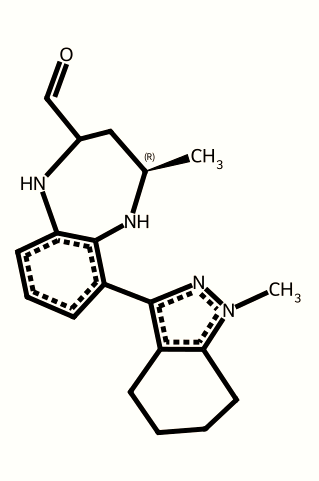 C[C@@H]1CC(C=O)Nc2cccc(-c3nn(C)c4c3CCCC4)c2N1